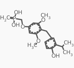 C=P(O)(O)COc1cc(OC)c(Cc2ccc(O)c(C(C)C)c2)c(OC)c1